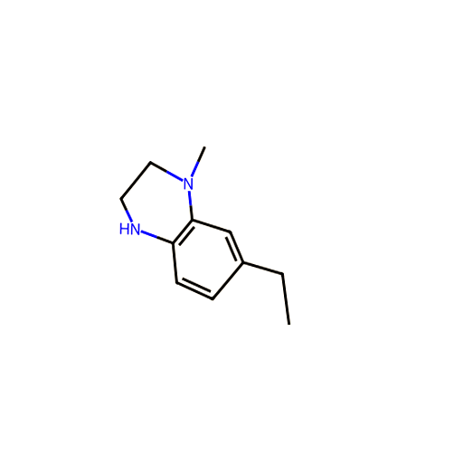 CCc1ccc2c(c1)N(C)CCN2